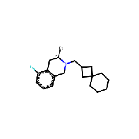 CC[C@@H]1Cc2c(F)cccc2CN1CC1CC2(CCCCC2)C1